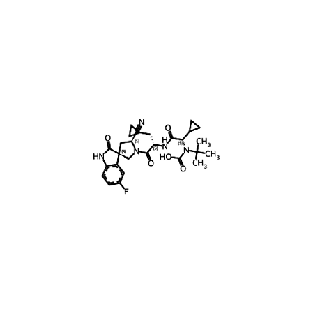 CC(C)(C)N(C(=O)O)[C@H](C(=O)N[C@@H](CC1CC1)C(=O)N1C[C@]2(C[C@H]1C#N)C(=O)Nc1ccc(F)cc12)C1CC1